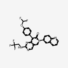 O=c1c(-c2ccc(OC(F)F)cc2)c2nc(NCC(F)(F)F)ncc2cn1-c1ccc2ncccc2c1